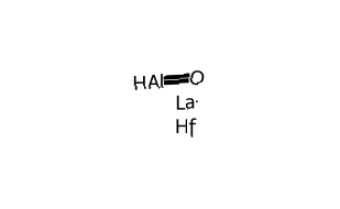 [Hf].[La].[O]=[AlH]